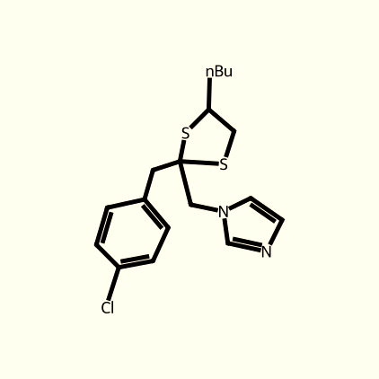 CCCCC1CSC(Cc2ccc(Cl)cc2)(Cn2ccnc2)S1